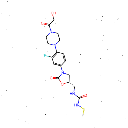 CSNC(=O)NC[C@H]1CN(c2ccc(N3CCN(C(=O)CO)CC3)c(F)c2)C(=O)O1